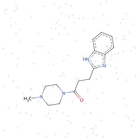 CN1CCN(C(=O)CCc2nc3ccccc3[nH]2)CC1